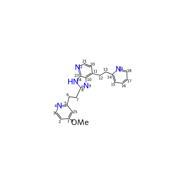 COc1ccnc(CCc2nc3c(CCc4ccccn4)ccnc3[nH]2)c1